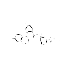 NS(=O)(=O)c1cccc(NC(=O)c2ccc(C(F)(F)F)cc2C2CCCc3cc(F)ccc32)c1